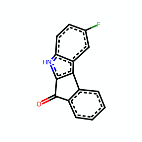 O=C1c2ccccc2-c2c1[nH]c1ccc(F)cc21